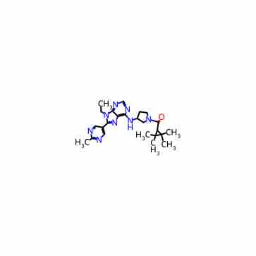 CCn1c(-c2cnc(C)nc2)nc2c(NC3CCN(C(=O)C4C(C)(C)C4(C)C)C3)ncnc21